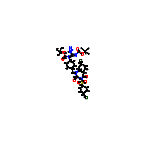 CC(C)(C)OC(=O)N=C(N)N(C(=O)OC(C)(C)C)c1ccc(Cn2c(=O)n(S(=O)(=O)c3ccc(Cl)cc3)c(=O)c3ccc(Cl)cc32)cc1